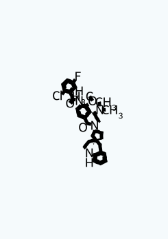 COc1cc(C(=O)N(CCN(C)C)C2CC[C@@]3(CCNc4ccccc4C3)C2)ccc1NC(=O)c1cc(F)ccc1Cl